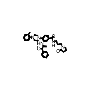 C=C(Nc1cc(C(=O)NCCCN2CCCC2=O)ccc1N1CCN(c2ccccc2C)CC1)C(OC)c1ccccc1